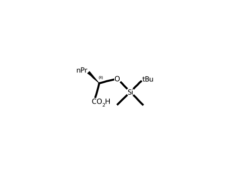 CCC[C@@H](O[Si](C)(C)C(C)(C)C)C(=O)O